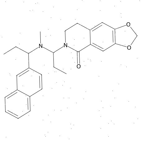 CCC(c1ccc2ccccc2c1)N(C)C(CC)N1CCc2cc3c(cc2C1=O)OCO3